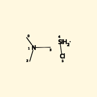 CN(C)C.[SiH2]Cl